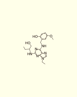 CCC(CO)Nc1nc(NCc2cc(OC)ccc2O)c2ncn(CC)c2n1